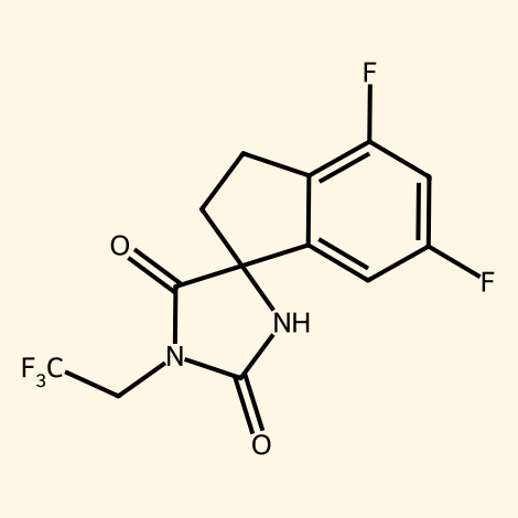 O=C1NC2(CCc3c(F)cc(F)cc32)C(=O)N1CC(F)(F)F